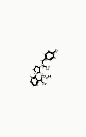 C[CH]C(C(=O)O)c1cccnc1N1CC[C@H](N(CC)Cc2ccc(CC)cc2)C1